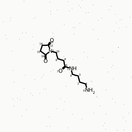 NCCCCNC(=O)CCCN1C(=O)CCC1=O